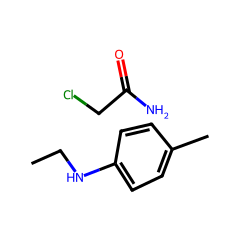 CCNc1ccc(C)cc1.NC(=O)CCl